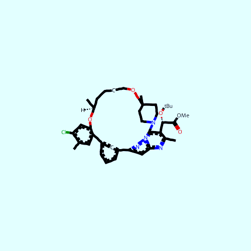 COC(=O)[C@@H](OC(C)(C)C)c1c(C)nc2cc3nn2c1N1CCC(C)(CC1)OCCCC[C@H](C)Oc1cc(Cl)c(C)cc1-c1cccc-3c1